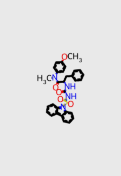 COc1ccc(N(C)C(=O)C(Cc2ccccc2)NC(=O)NS(=O)(=O)n2c3ccccc3c3ccccc32)cc1